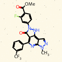 COC(=O)c1ccc(-n2[nH]c3c(c(-c4cccc(C(F)(F)F)c4)nc4c3cnn4C)c2=O)cc1F